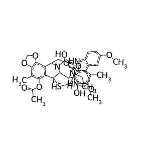 CCN1CC2(O)Cc3cc(C)c(OC)c(O)c3[C@H]1C1[C@@H]3SC[C@]4(NCCc5c4[nH]c4ccc(OC)cc54)C(=O)OCC(c4c5c(c(C)c(OC(C)=O)c43)OCO5)N12